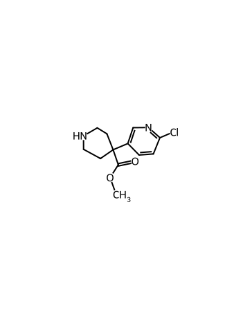 COC(=O)C1(c2ccc(Cl)nc2)CCNCC1